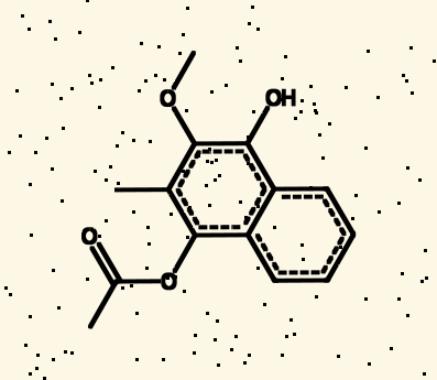 COc1c(C)c(OC(C)=O)c2ccccc2c1O